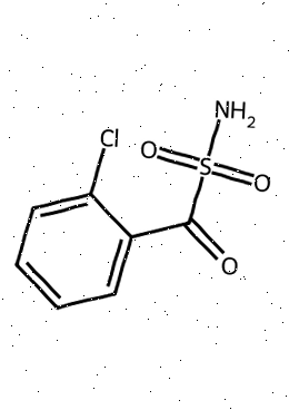 NS(=O)(=O)C(=O)c1ccccc1Cl